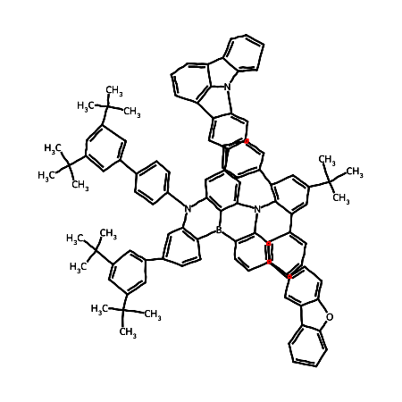 CC(C)(C)c1cc(-c2ccc(N3c4cc(-c5cc(C(C)(C)C)cc(C(C)(C)C)c5)ccc4B4c5ccc(-c6ccc7oc8ccccc8c7c6)cc5N(c5c(-c6ccccc6)cc(C(C)(C)C)cc5-c5ccccc5)c5cc(-c6ccc7c(c6)c6cccc8c9ccccc9n7c86)cc3c54)cc2)cc(C(C)(C)C)c1